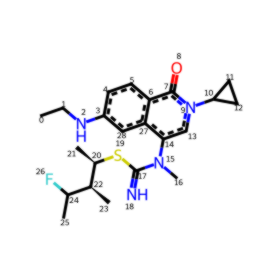 CCNc1ccc2c(=O)n(C3CC3)cc(N(C)C(=N)S[C@H](C)[C@@H](C)C(C)F)c2c1